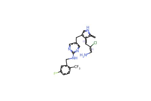 C=c1[nH]cc(Cc2cnc(NCc3cc(F)ccc3C(F)(F)F)nc2)/c1=C/C(Cl)=C\N